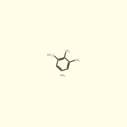 Cc1cccc(C(=O)O)c1C.[InH3]